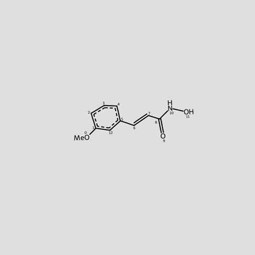 COc1cccc(/C=C/C(=O)NO)c1